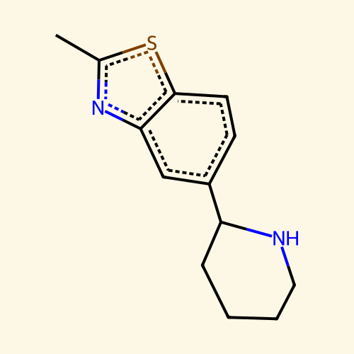 Cc1nc2cc(C3CCCCN3)ccc2s1